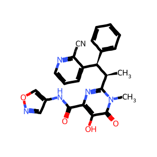 C[C@@H](c1nc(C(=O)Nc2cnoc2)c(O)c(=O)n1C)[C@H](c1ccccc1)c1cccnc1C#N